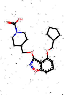 O=C(O)N1CCC(COc2noc3cccc(OCC4CCCC4)c23)CC1